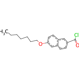 CCCCCCCOc1ccc2cc(C(=O)Cl)ccc2c1